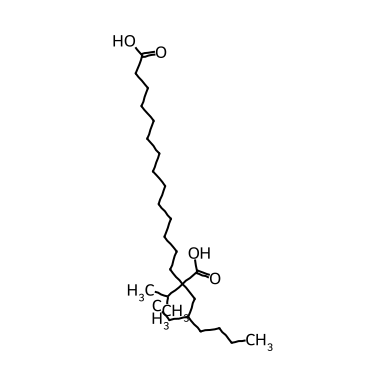 CCCCC(CC)CC(CCCCCCCCCCCCCC(=O)O)(C(=O)O)C(C)C